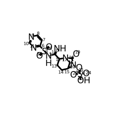 N=C(NS(=O)(=O)c1ccncn1)C1CCC2CN1C(=O)N2OS(=O)(=O)O